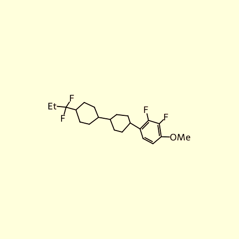 CCC(F)(F)C1CCC(C2CCC(c3ccc(OC)c(F)c3F)CC2)CC1